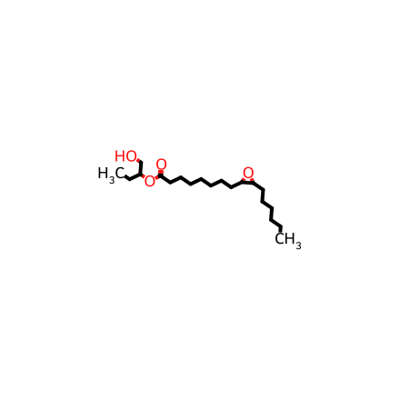 CCCCCCC1OC1CCCCCCCC(=O)OC(CC)CO